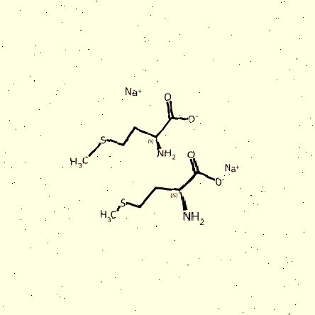 CSCC[C@H](N)C(=O)[O-].CSCC[C@H](N)C(=O)[O-].[Na+].[Na+]